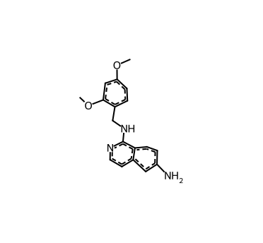 COc1ccc(CNc2nccc3cc(N)ccc23)c(OC)c1